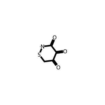 O=C1CS[N]C(=O)C1=O